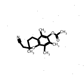 CC(=O)Oc1c(C)c(C)c2c(c1C)CCC(C)(CC#N)O2